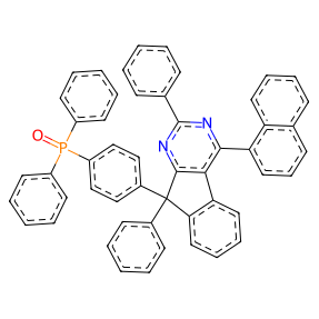 O=P(c1ccccc1)(c1ccccc1)c1ccc(C2(c3ccccc3)c3ccccc3-c3c(-c4cccc5ccccc45)nc(-c4ccccc4)nc32)cc1